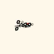 C[C@]12CC[C@H]3[C@@H](CNC4=CC(=O)CC[C@@]43C)[C@@H]1CC[C@@H]2C(=O)N(C(=O)NC1CCCCC1)C1CCCCC1